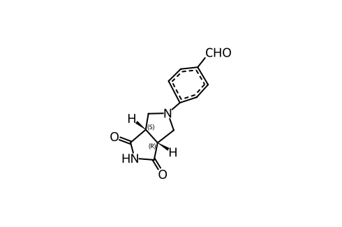 O=Cc1ccc(N2C[C@@H]3C(=O)NC(=O)[C@@H]3C2)cc1